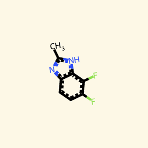 Cc1nc2ccc(F)c(F)c2[nH]1